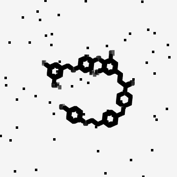 Cc1cc(F)cc(COc2ccc(Oc3c(C)cc(C=CC(=O)N4CCN(Cc5ccc(CCOc6ccc(Cl)cc6)cc5)CC4)cc3Cl)nc2)c1